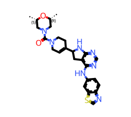 C[C@@H]1CN(C(=O)N2CC=C(C3Cc4c(Nc5ccc6ncsc6c5)ncnc4N3)CC2)C[C@H](C)O1